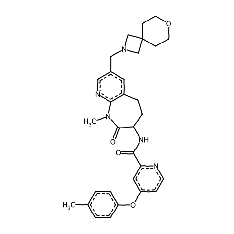 Cc1ccc(Oc2ccnc(C(=O)NC3CCc4cc(CN5CC6(CCOCC6)C5)cnc4N(C)C3=O)c2)cc1